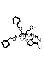 OCC[C@@]1(O)[C@H](OCc2ccccc2)[C@@H](COCc2ccccc2)O[C@@H]1n1ccc2c(Cl)ncnc21